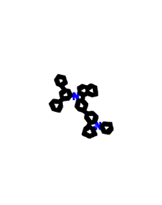 c1ccc(-c2cc(-c3ccccc3)cc(-n3c4ccc(-c5ccc6c(c5)c5ccccc5n6-c5ccccc5)cc4c4c5ccccc5ccc43)c2)cc1